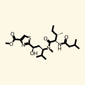 CC[C@H](C)[C@H](NC(=O)CC(C)C)C(=O)N(C)[C@H](C[C@@H](O)c1nc(C(=O)OC)cs1)C(C)C